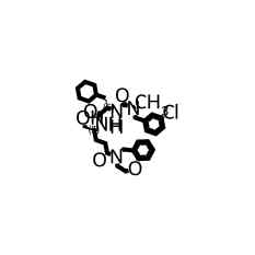 CN(Cc1cccc(Cl)c1)C(=O)N[C@@H](CC1CCCCC1)C(=O)N[C@H](CO)CCC(=O)N1CCOc2ccccc2C1